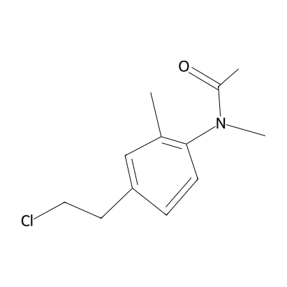 CC(=O)N(C)c1ccc(CCCl)cc1C